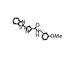 COc1cccc(CNC(=O)c2cnn(-c3nc4ccccc4s3)c2)c1